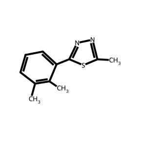 Cc1nnc(-c2cccc(C)c2C)s1